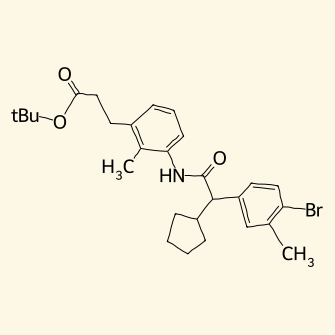 Cc1cc(C(C(=O)Nc2cccc(CCC(=O)OC(C)(C)C)c2C)C2CCCC2)ccc1Br